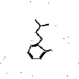 [CH2]c1ccccc1CCC(C)C